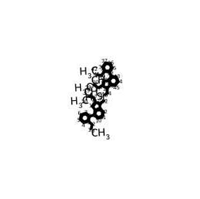 CCCc1ccccc1-c1cccc2c1C=C(CC(C)C)C2C[SiH2]CC1C(CC(C)C)=Cc2c(-c3ccccc3CCC)cccc21